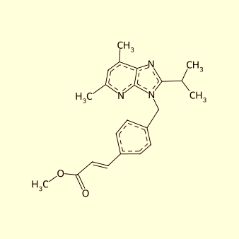 COC(=O)C=Cc1ccc(Cn2c(C(C)C)nc3c(C)cc(C)nc32)cc1